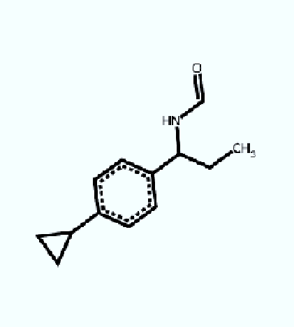 CCC(NC=O)c1ccc(C2CC2)cc1